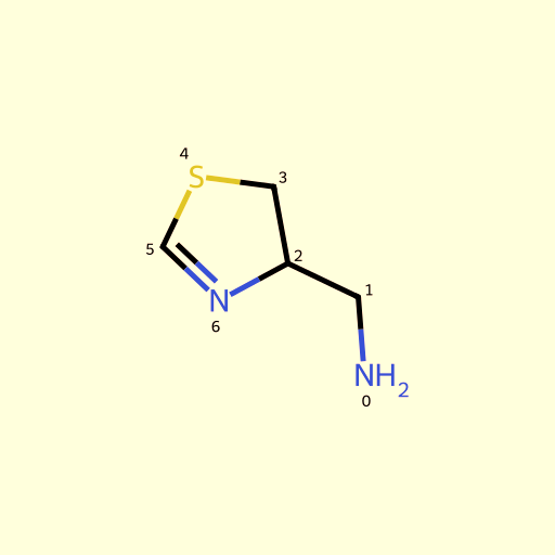 NCC1CSC=N1